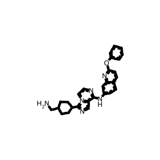 NCC1CCC(c2ncc3c(Nc4ccc5ccc(Oc6ccccc6)nc5c4)nccn23)CC1